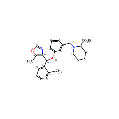 CCOC(=O)C1CCCCN1Cc1cccc(OC(c2ccccc2C)c2ncoc2C)c1